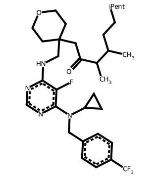 CCCC(C)CCC(C)C(C)C(=O)CC1(CNc2ncnc(N(Cc3ccc(C(F)(F)F)cc3)C3CC3)c2F)CCOCC1